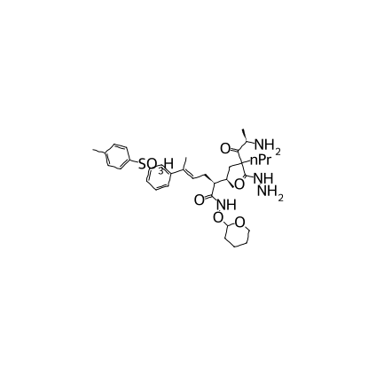 CCCC(C[C@@H](C)[C@H](C/C=C(\C)c1ccccc1)C(=O)NOC1CCCCO1)(C(=O)NN)C(=O)[C@@H](C)N.Cc1ccc(S(=O)(=O)O)cc1